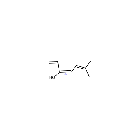 C=C/C(O)=C\C=C(C)C